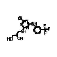 OCC(O)CNc1nc(Cl)nc(Nc2cccc(C(F)(F)F)c2)n1